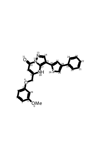 COc1cccc(OCc2cc(=O)n3ncc(-c4cc(-c5ccccc5)cs4)c3[nH]2)c1